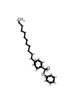 CCCCCCCCCCCCc1ccc(C(=O)Oc2ccccc2)cc1